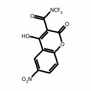 O=C(NC(F)(F)F)c1c(O)c2cc([N+](=O)[O-])ccc2oc1=O